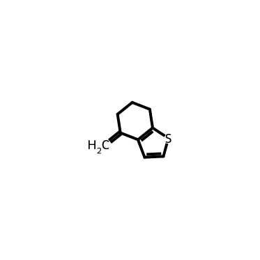 C=C1CCCc2sccc21